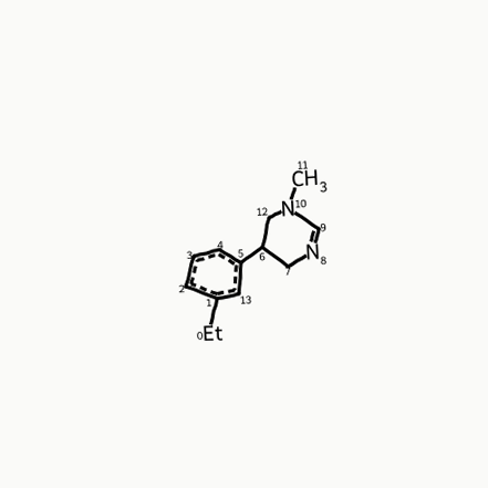 CCc1cccc(C2CN=CN(C)C2)c1